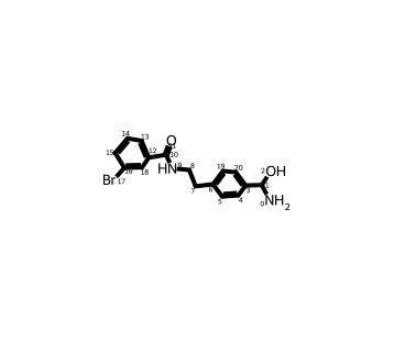 NC(O)c1ccc(CCNC(=O)c2cccc(Br)c2)cc1